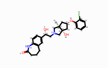 O=C1CCCc2cc([C@H](O)CN3C[C@H]4C[C@H](Oc5ccccc5F)C[C@@]4(O)C3)ccc2N1